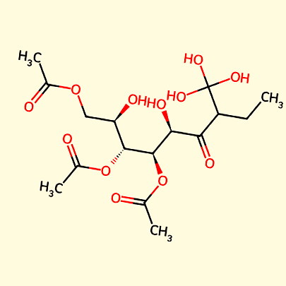 CCC(C(=O)[C@H](O)[C@@H](OC(C)=O)[C@H](OC(C)=O)[C@H](O)COC(C)=O)C(O)(O)O